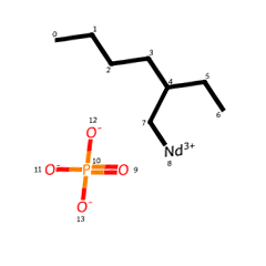 CCCCC(CC)[CH2][Nd+3].O=P([O-])([O-])[O-]